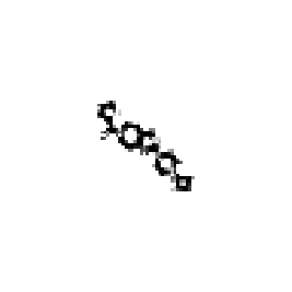 O=C(C1CCCO1)N1CCc2cnc(N3CCN(C4CCC4)CC3)nc2CC1